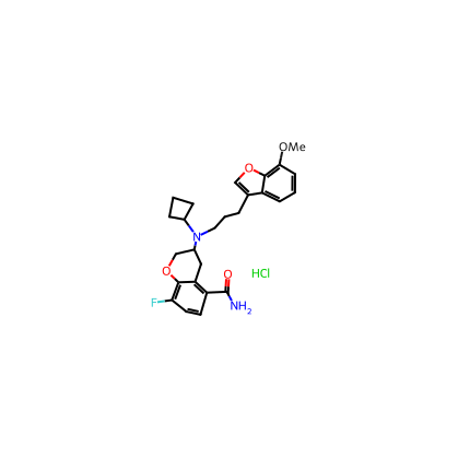 COc1cccc2c(CCCN(C3CCC3)C3COc4c(F)ccc(C(N)=O)c4C3)coc12.Cl